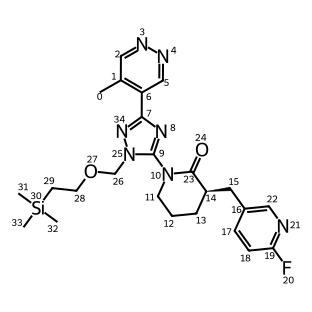 Cc1cnncc1-c1nc(N2CCC[C@H](Cc3ccc(F)nc3)C2=O)n(COCC[Si](C)(C)C)n1